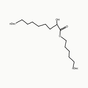 CCCCCCCCCCCCCCCCC(O)C(=O)OCCCCCCCCCCCCCCC